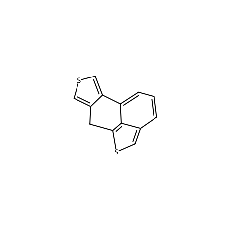 c1cc2c3c(scc3c1)Cc1cscc1-2